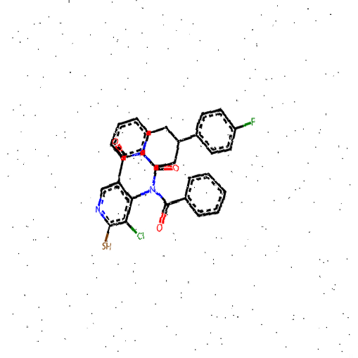 O=C(c1cnc(S)c(Cl)c1N(C(=O)c1ccccc1)C(=O)c1ccccc1)N1CCC(c2ccc(F)cc2)CC1